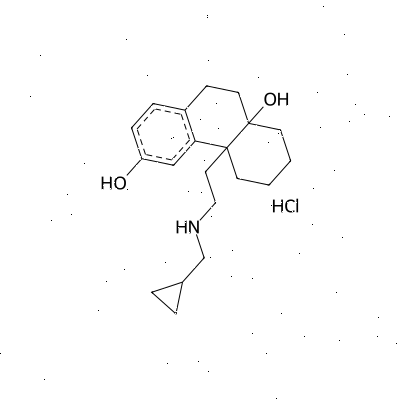 Cl.Oc1ccc2c(c1)C1(CCNCC3CC3)CCCCC1(O)CC2